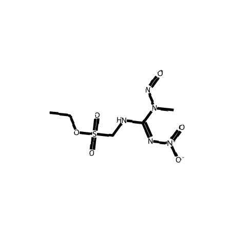 CCOS(=O)(=O)CNC(=N[N+](=O)[O-])N(C)N=O